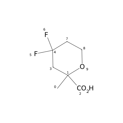 CC1(C(=O)O)CC(F)(F)CCO1